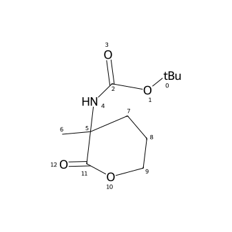 CC(C)(C)OC(=O)NC1(C)CCCOC1=O